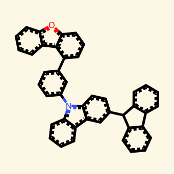 c1cc(-c2cccc3oc4ccccc4c23)cc(-n2c3ccccc3c3cc(C4c5ccccc5-c5ccccc54)ccc32)c1